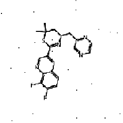 CC1(C)CC(Cc2cnccn2)N=C(c2cnc3c(F)c(F)ccc3c2)S1